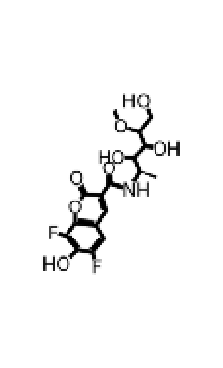 COC(CO)C(O)C(O)[C@@H](C)NC(=O)c1cc2cc(F)c(O)c(F)c2oc1=O